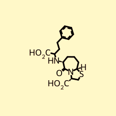 O=C(O)C(CCc1ccccc1)N[C@H]1CCC[C@@H]2SC[C@@H](C(=O)O)N2C1=O